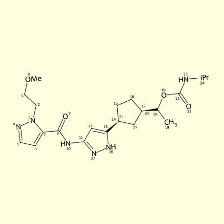 COCCn1nccc1C(=O)Nc1cc([C@H]2CC[C@@H](C(C)OC(=O)NC(C)C)C2)[nH]n1